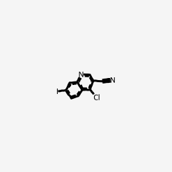 N#Cc1cnc2cc(I)ccc2c1Cl